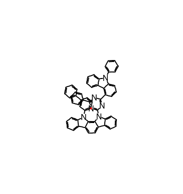 c1ccc(-c2cccc(-n3c4ccccc4c4ccc5c6ccccc6n(-c6nc(-c7ccccc7)nc(-c7cccc8c7c7ccccc7n8-c7ccccc7)n6)c5c43)c2)cc1